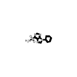 NS(=O)(=O)c1ncnc2c1ncn2-c1ccccc1